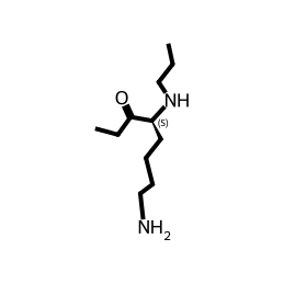 CCCN[C@@H](CCCCN)C(=O)CC